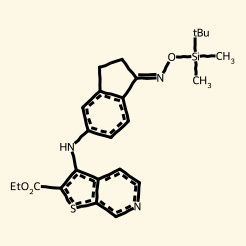 CCOC(=O)c1sc2cnccc2c1Nc1ccc2c(c1)CCC2=NO[Si](C)(C)C(C)(C)C